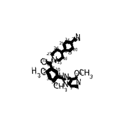 COc1nccc2nc(-c3cc(C(=O)N4CCC(c5ccc(C#N)cc5)CC4)c(C)cc3C)[nH]c12